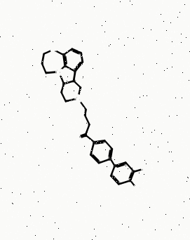 O=C(CCCN1CC[C@@H]2[C@H](C1)c1cccc3c1N2CCCS3)c1ccc(-c2ccc(Cl)c(Cl)c2)cc1